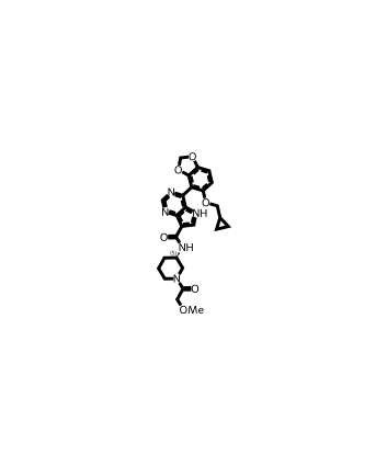 COCC(=O)N1CCC[C@H](NC(=O)c2c[nH]c3c(-c4c(OCC5CC5)ccc5c4OCO5)ncnc23)C1